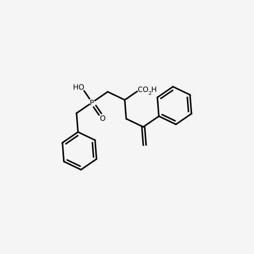 C=C(CC(CP(=O)(O)Cc1ccccc1)C(=O)O)c1ccccc1